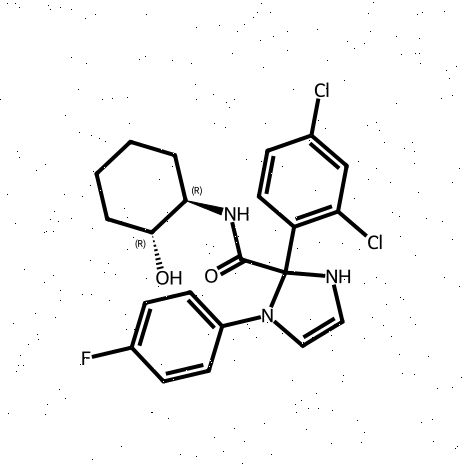 O=C(N[C@@H]1CCCC[C@H]1O)C1(c2ccc(Cl)cc2Cl)NC=CN1c1ccc(F)cc1